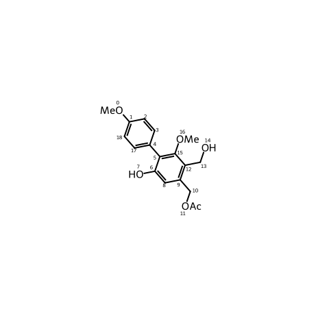 COc1ccc(-c2c(O)cc(COC(C)=O)c(CO)c2OC)cc1